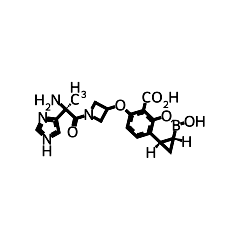 C[C@](N)(C(=O)N1CC(Oc2ccc3c(c2C(=O)O)OB(O)[C@@H]2C[C@H]32)C1)c1c[nH]cn1